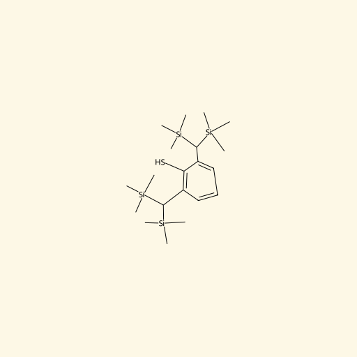 C[Si](C)(C)C(c1cccc(C([Si](C)(C)C)[Si](C)(C)C)c1S)[Si](C)(C)C